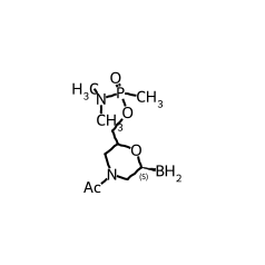 B[C@H]1CN(C(C)=O)CC(COP(C)(=O)N(C)C)O1